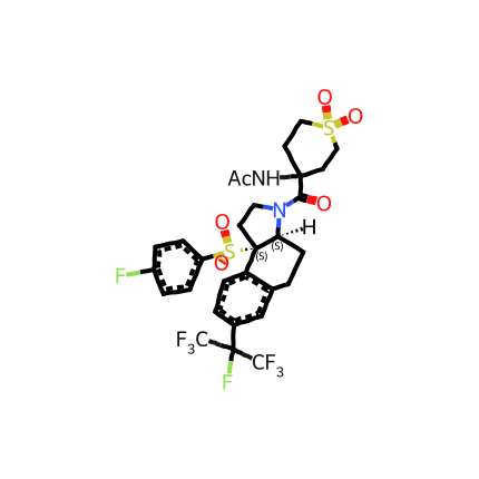 CC(=O)NC1(C(=O)N2CC[C@]3(S(=O)(=O)c4ccc(F)cc4)c4ccc(C(F)(C(F)(F)F)C(F)(F)F)cc4CC[C@H]23)CCS(=O)(=O)CC1